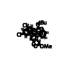 COC(=O)CN1C(=O)C[C@@H](c2cccc(Cl)c2)[C@]2(C(=O)N(C(=O)OC(C)(C)C)c3cc(Cl)ccc32)[C@H]1c1ccccc1C